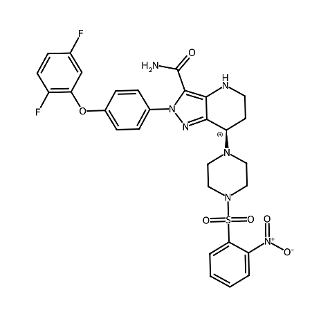 NC(=O)c1c2c(nn1-c1ccc(Oc3cc(F)ccc3F)cc1)[C@H](N1CCN(S(=O)(=O)c3ccccc3[N+](=O)[O-])CC1)CCN2